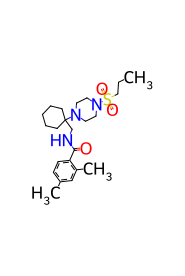 CCCS(=O)(=O)N1CCN(C2(CNC(=O)c3ccc(C)cc3C)CCCCC2)CC1